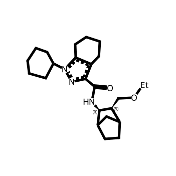 CCOC[C@H]1C2CCC(C2)[C@H]1NC(=O)c1nn(C2CCCCC2)c2c1CCCC2